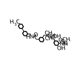 Cc1ccc(-c2cccc(CNC(=O)Cc3cccc(CC(C)(C)NC[C@H](O)c4ccc(O)c(NS(C)(=O)=O)c4)c3)c2)cc1